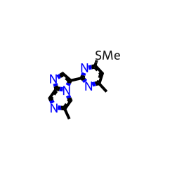 CSc1cc(C)nc(-c2cnc3cnc(C)cn23)n1